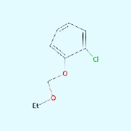 CCOCOc1ccccc1Cl